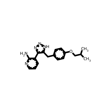 CC(C)COc1ccc(Cc2[nH]nnc2-c2cccnc2N)cc1